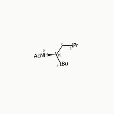 CC(=O)N[C@@H](CC(C)C)C(C)(C)C